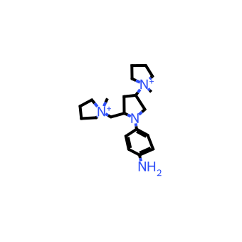 C[N+]1(CC2CC([N+]3(C)CCCC3)CN2c2ccc(N)cc2)CCCC1